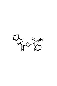 CC(C)n1c(=O)n(C2CC(Nc3nc4ccccc4s3)C2)c2nccnc21